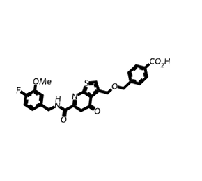 COc1cc(CNC(=O)C2=Nc3scc(COCc4ccc(C(=O)O)cc4)c3C(=O)C2)ccc1F